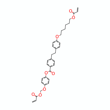 C=CC(=O)OCCCCCCOc1ccc(CCc2ccc(C(=O)Oc3ccc(OCOC(=O)C=C)cc3)cc2)cc1